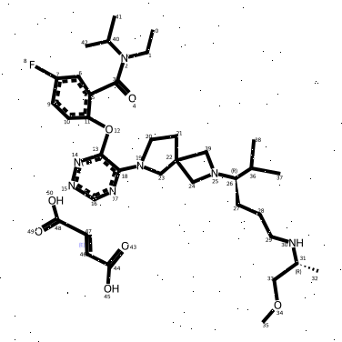 CCN(C(=O)c1cc(F)ccc1Oc1nncnc1N1CCC2(C1)CN([C@H](CCCN[C@H](C)COC)C(C)C)C2)C(C)C.O=C(O)/C=C/C(=O)O